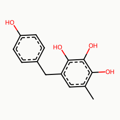 Cc1cc(Cc2ccc(O)cc2)c(O)c(O)c1O